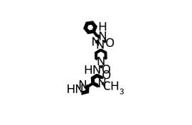 Cn1cc(-c2cc[nH]n2)cc(NC(=O)N2CCC(n3nc(-c4ccccc4)[nH]c3=O)CC2)c1=O